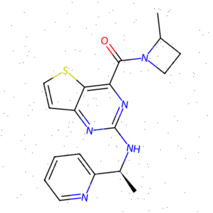 CC1CCN1C(=O)c1nc(N[C@@H](C)c2ccccn2)nc2ccsc12